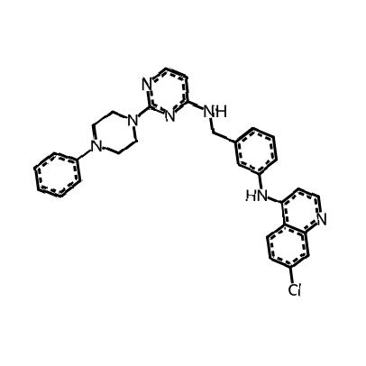 Clc1ccc2c(Nc3cccc(CNc4ccnc(N5CCN(c6ccccc6)CC5)n4)c3)ccnc2c1